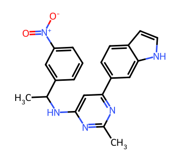 Cc1nc(NC(C)c2cccc([N+](=O)[O-])c2)cc(-c2ccc3cc[nH]c3c2)n1